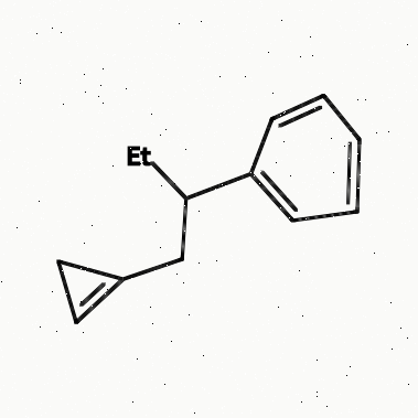 CCC(CC1=CC1)c1ccccc1